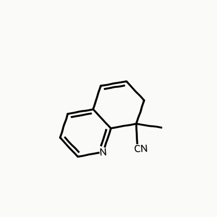 CC1(C#N)CC=Cc2cccnc21